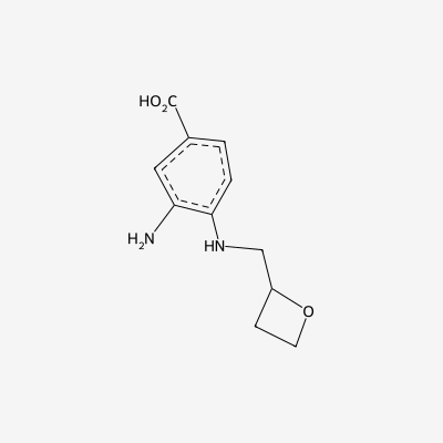 Nc1cc(C(=O)O)ccc1NCC1CCO1